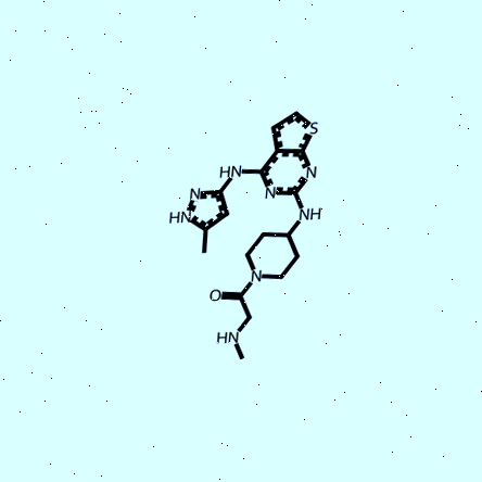 CNCC(=O)N1CCC(Nc2nc(Nc3cc(C)[nH]n3)c3ccsc3n2)CC1